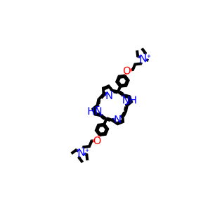 CC[N+](C)(CC)CCCOc1ccc(-c2c3nc(cc4ccc([nH]4)c(-c4ccc(OCCC[N+](CC)(CC)CC)cc4)c4nc(cc5ccc2[nH]5)C=C4)C=C3)cc1